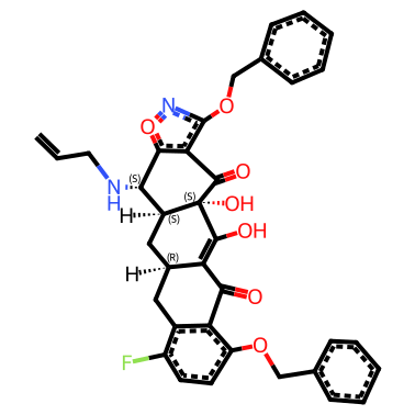 C=CCN[C@@H]1c2onc(OCc3ccccc3)c2C(=O)[C@@]2(O)C(O)=C3C(=O)c4c(OCc5ccccc5)ccc(F)c4C[C@H]3C[C@@H]12